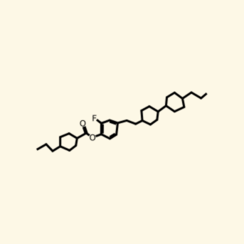 CCCC1CCC(C(=O)Oc2ccc(CCC3CCC(C4CCC(CCC)CC4)CC3)cc2F)CC1